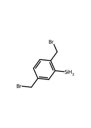 [SiH3]c1cc(CBr)ccc1CBr